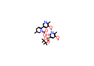 COc1cc(B2OC(C)(C)C(C)(C)O2)cnc1C.COc1cc(C2=CCC(C)CN2C(=O)O)cnc1C